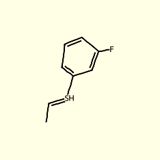 CC=[SH]c1cccc(F)c1